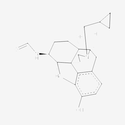 O=CN[C@H]1CC[C@@]2(O)[C@H]3Cc4ccc(O)c5c4[C@@]2(CCN3CC2CC2)[C@H]1O5